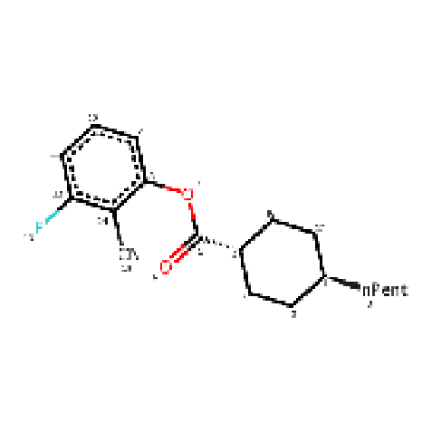 CCCCC[C@H]1CC[C@H](C(=O)Oc2cccc(F)c2C#N)CC1